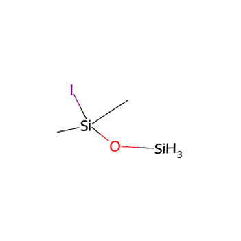 C[Si](C)(I)O[SiH3]